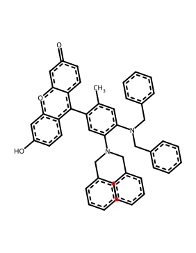 Cc1cc(N(Cc2ccccc2)Cc2ccccc2)c(N(Cc2ccccc2)Cc2ccccc2)cc1-c1c2ccc(=O)cc-2oc2cc(O)ccc12